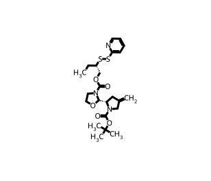 C=C1C[C@@H](C2OCCN2C(=O)OC[C@H](CC)SSc2ccccn2)N(C(=O)OC(C)(C)C)C1